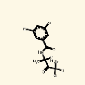 CC(C)(NC(=O)c1cc(Cl)cc(Cl)c1)C(=O)C(Cl)(Cl)Br